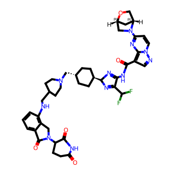 O=C1CCC(N2Cc3c(NCC4CCN(C[C@H]5CC[C@H](C6N=C(NC(=O)c7cnn8ccc(N9C[C@H]%10C[C@@H]9CO%10)nc78)C(C(F)F)=N6)CC5)CC4)cccc3C2=O)C(=O)N1